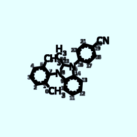 Cc1cccc(C)c1N1c2ccccc2N(c2ccc(C#N)cc2)[C@@H]1C